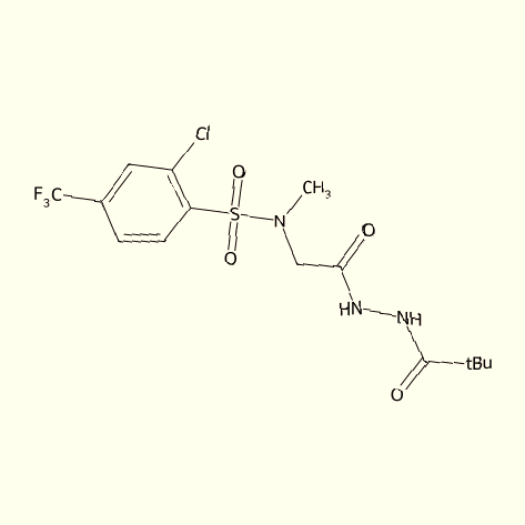 CN(CC(=O)NNC(=O)C(C)(C)C)S(=O)(=O)c1ccc(C(F)(F)F)cc1Cl